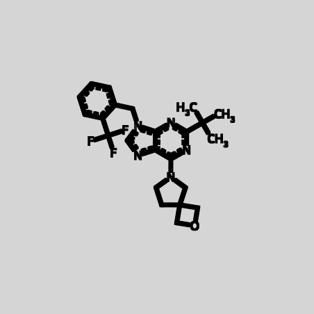 CC(C)(C)c1nc(N2CCC3(COC3)C2)c2ncn(Cc3ccccc3C(F)(F)F)c2n1